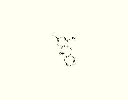 Oc1cc(F)cc(Br)c1Cc1ccccc1